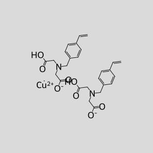 C=Cc1ccc(CN(CC(=O)[O-])CC(=O)O)cc1.C=Cc1ccc(CN(CC(=O)[O-])CC(=O)O)cc1.[Cu+2]